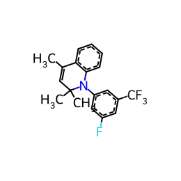 CC1=CC(C)(C)N(c2cc(F)cc(C(F)(F)F)c2)c2ccccc21